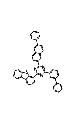 c1ccc(-c2cccc(-c3nc(-c4ccc5cc(-c6ccccc6)ccc5c4)nc(-c4cccc5c4sc4ccccc45)n3)c2)cc1